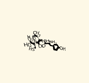 CC(C)C[C@H](NC(=O)[C@@H](N)Cc1ccc(O)cc1)C(=O)N[C@@H](CS)C(=O)O